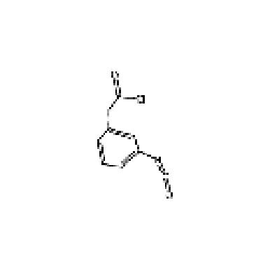 O=C=Nc1cccc(CC(=O)Cl)c1